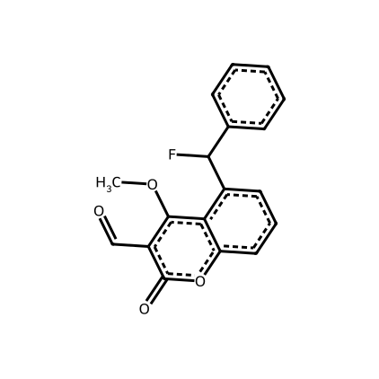 COc1c(C=O)c(=O)oc2cccc(C(F)c3ccccc3)c12